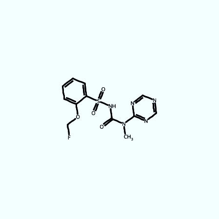 CN(C(=O)NS(=O)(=O)c1ccccc1OCF)c1ncncn1